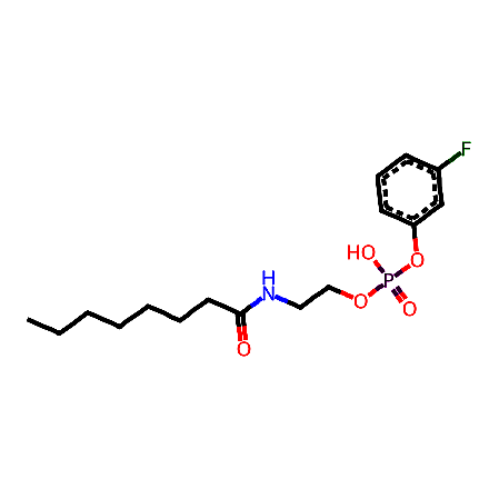 CCCCCCCC(=O)NCCOP(=O)(O)Oc1cccc(F)c1